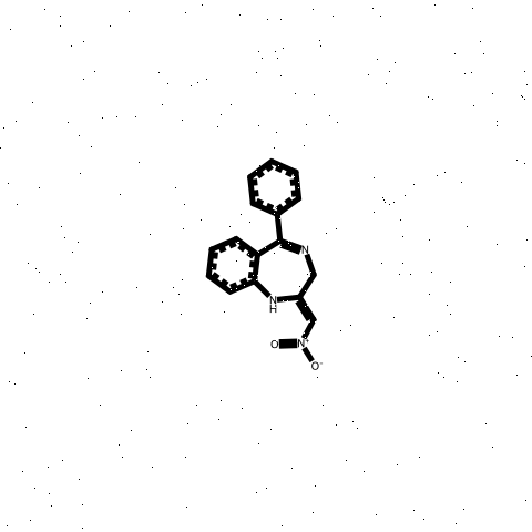 O=[N+]([O-])C=C1CN=C(c2ccccc2)c2ccccc2N1